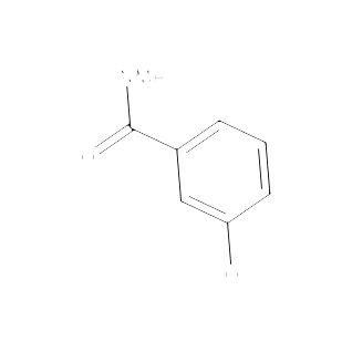 CNC(=O)c1cccc([O])c1